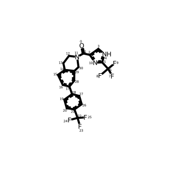 O=C(c1c[nH]c(C(F)(F)F)n1)N1CCc2ccc(-c3ccc(C(F)(F)F)cc3)cc2C1